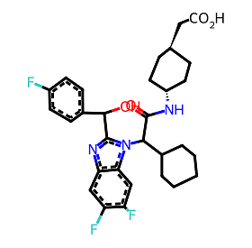 O=C(O)C[C@H]1CC[C@H](NC(=O)C(C2CCCCC2)n2c(C(O)c3ccc(F)cc3)nc3cc(F)c(F)cc32)CC1